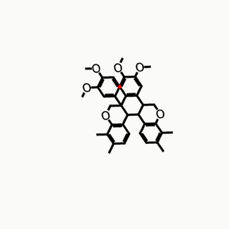 COc1ccc(C23COc4c(ccc(C)c4C)C2C2c4ccc(C)c(C)c4OCC2c2cc(OC)c(OC)cc23)cc1OC